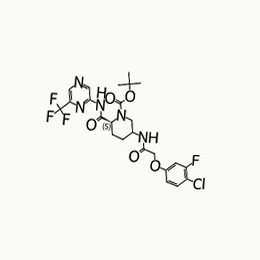 CC(C)(C)OC(=O)N1CC(NC(=O)COc2ccc(Cl)c(F)c2)CC[C@H]1C(=O)Nc1cncc(C(F)(F)F)n1